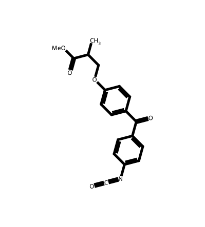 COC(=O)C(C)COc1ccc(C(=O)c2ccc(N=C=O)cc2)cc1